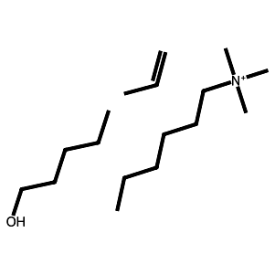 C=CC.CCCCCC[N+](C)(C)C.CCCCCO